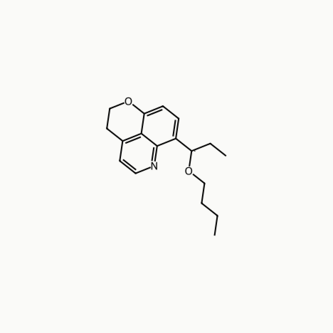 CCCCO[C](CC)c1ccc2c3c(ccnc13)CCO2